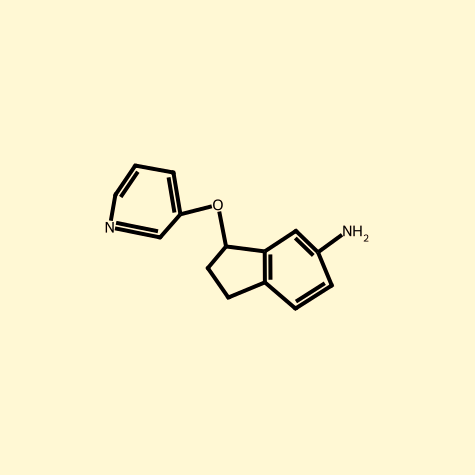 Nc1ccc2c(c1)C(Oc1cccnc1)CC2